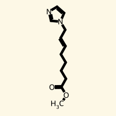 COC(=O)CCCCC=CCn1ccnc1